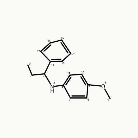 CCC(Nc1ccc(OC)cc1)c1ccccc1